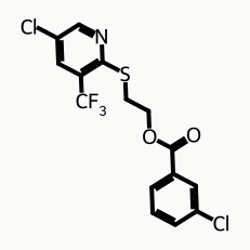 O=C(OCCSc1ncc(Cl)cc1C(F)(F)F)c1cccc(Cl)c1